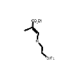 CCOC(=O)C(C)=COCCOC